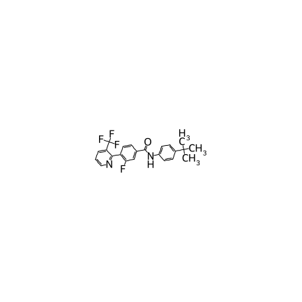 CC(C)(C)c1ccc(NC(=O)c2ccc(-c3ncccc3C(F)(F)F)c(F)c2)cc1